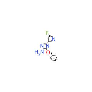 Nc1ncc(-c2cncc(F)c2)nc1OCc1ccccc1